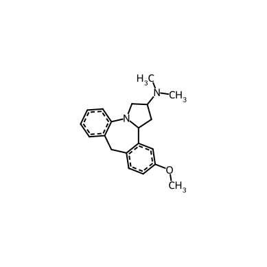 COc1ccc2c(c1)C1CC(N(C)C)CN1c1ccccc1C2